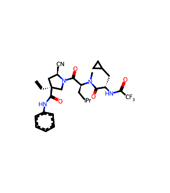 C=C[C@]1(C(=O)Nc2ccccc2)C[C@@H](C#N)N(C(=O)[C@H](CC(C)C)N(C)C(=O)[C@H](CC2CC2)NC(=O)C(F)(F)F)C1